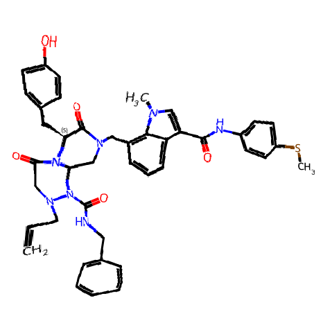 C=CCN1CC(=O)N2C(CN(Cc3cccc4c(C(=O)Nc5ccc(SC)cc5)cn(C)c34)C(=O)[C@@H]2Cc2ccc(O)cc2)N1C(=O)NCc1ccccc1